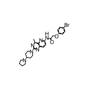 Cc1nc(N2CCC(N3CCCC3)CC2)nc2ccc(NC(=O)COc3ccc(Br)cc3)nc12